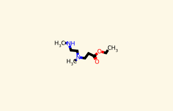 CCOC(=O)CCN(C)CCNC